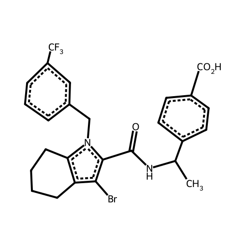 CC(NC(=O)c1c(Br)c2c(n1Cc1cccc(C(F)(F)F)c1)CCCC2)c1ccc(C(=O)O)cc1